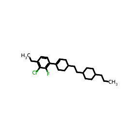 CCCC1CCC(CCC2CC=C(c3ccc(CC)c(Cl)c3F)CC2)CC1